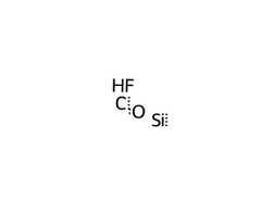 F.[C].[O].[Si]